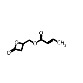 C/C=C/C(=O)OCC1CC(=O)O1